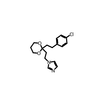 Clc1ccc(CCC2(CCn3ccnc3)OCCCO2)cc1